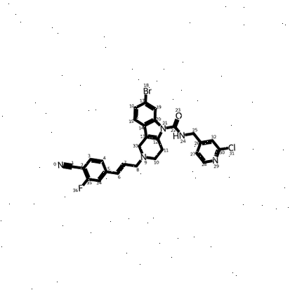 N#Cc1ccc(C=CCN2CCc3c(c4ccc(Br)cc4n3C(=O)NCc3ccnc(Cl)c3)C2)cc1F